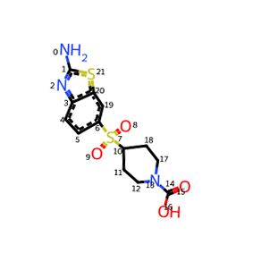 Nc1nc2ccc(S(=O)(=O)C3CCN(C(=O)O)CC3)cc2s1